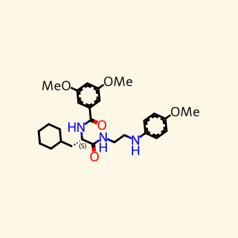 COc1ccc(NCCNC(=O)[C@H](CC2CCCCC2)NC(=O)c2cc(OC)cc(OC)c2)cc1